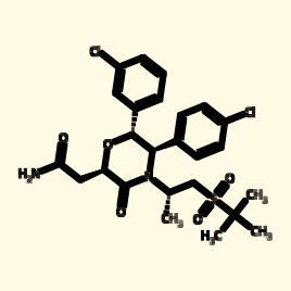 C[C@@H](CS(=O)(=O)C(C)(C)C)N1C(=O)[C@@H](CC(N)=O)O[C@H](c2cccc(Cl)c2)[C@H]1c1ccc(Cl)cc1